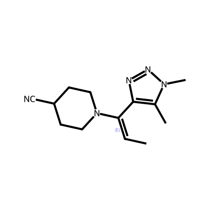 C/C=C(\c1nnn(C)c1C)N1CCC(C#N)CC1